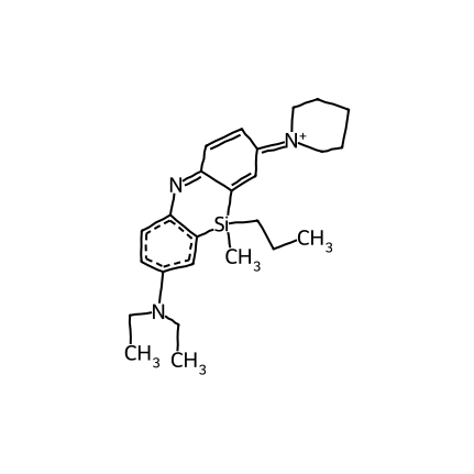 CCC[Si]1(C)C2=CC(=[N+]3CCCCC3)C=CC2=Nc2ccc(N(CC)CC)cc21